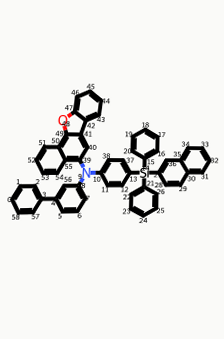 c1ccc(-c2cccc(N(c3ccc([Si](c4ccccc4)(c4ccccc4)c4ccc5ccccc5c4)cc3)c3cc4c5ccccc5oc4c4ccccc34)c2)cc1